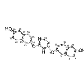 Oc1ccc2cc(OC3=CC=NN(Oc4ccc5cc(O)ccc5c4)N3)ccc2c1